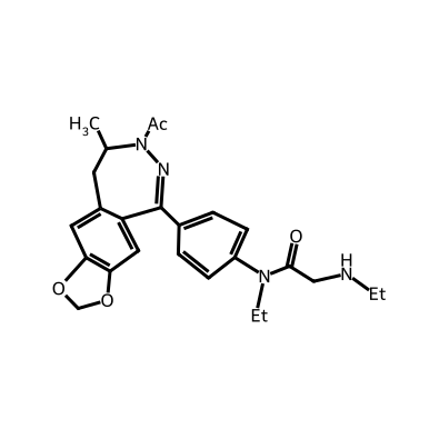 CCNCC(=O)N(CC)c1ccc(C2=NN(C(C)=O)C(C)Cc3cc4c(cc32)OCO4)cc1